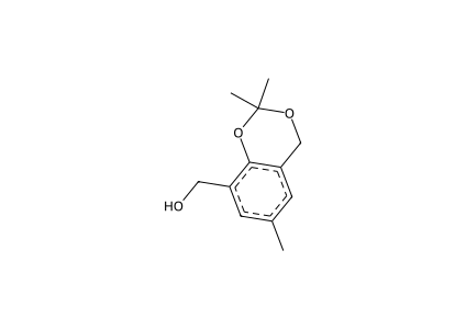 Cc1cc(CO)c2c(c1)COC(C)(C)O2